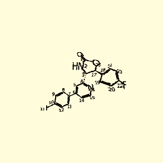 O=C1N[C@@H](c2cc(-c3ccc(I)cc3)ccn2)[C@H](c2ccc(F)cc2)O1